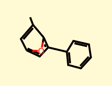 Cc1cc2cc(-c3ccccc3)c1o2